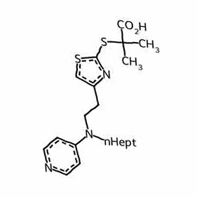 CCCCCCCN(CCc1csc(SC(C)(C)C(=O)O)n1)c1ccncc1